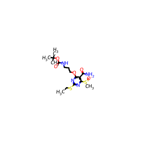 CCSc1nc(OCCCNC(=O)OC(C)(C)C)c(C(N)=O)c([S+](C)[O-])n1